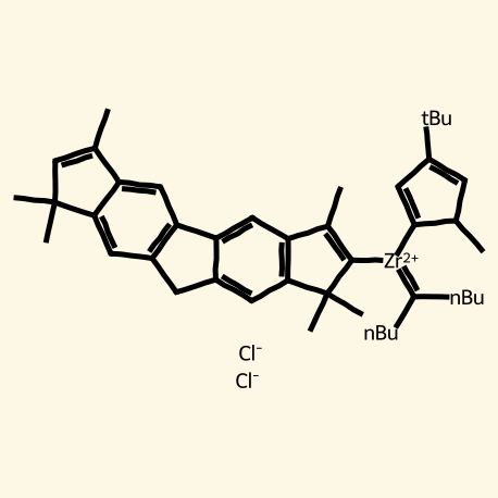 CCCC[C](CCCC)=[Zr+2]([C]1=CC(C(C)(C)C)=CC1C)[C]1=C(C)c2cc3c(cc2C1(C)C)Cc1cc2c(cc1-3)C(C)=CC2(C)C.[Cl-].[Cl-]